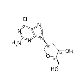 Nc1nc(Cl)c2ncn([C@@H]3CO[C@H](CO)[C@@H](O)C3)c2n1